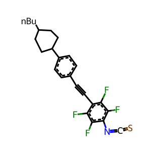 CCCCC1CCC(c2ccc(C#Cc3c(F)c(F)c(N=C=S)c(F)c3F)cc2)CC1